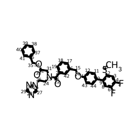 CSc1cc(F)c(F)cc1-c1ccc(OCc2cccc(C(=O)N(CCn3cncn3)CC(=O)OCc3ccccc3)c2)cc1